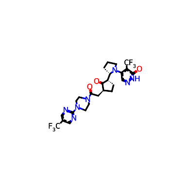 O=C1[C@H](CC(=O)N2CCN(c3ncc(C(F)(F)F)cn3)CC2)CC[C@H]1[C@@H]1CCCN1c1cn[nH]c(=O)c1C(F)(F)F